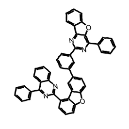 c1ccc(-c2nc(-c3cccc4oc5ccc(-c6cccc(-c7nc(-c8ccccc8)c8oc9ccccc9c8n7)c6)cc5c34)nc3ccccc23)cc1